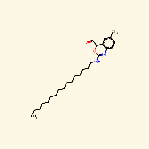 CCCCCCCCCCCCCCCCNC1=Nc2ccc(C)cc2C(C=O)O1